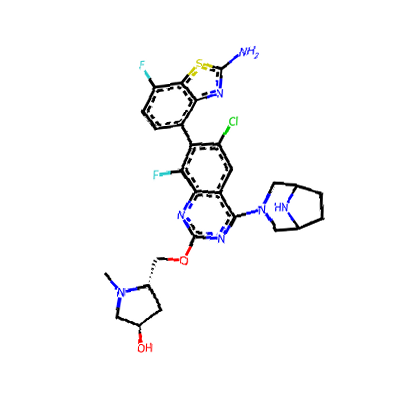 CN1C[C@H](O)C[C@H]1COc1nc(N2CC3CCC(C2)N3)c2cc(Cl)c(-c3ccc(F)c4sc(N)nc34)c(F)c2n1